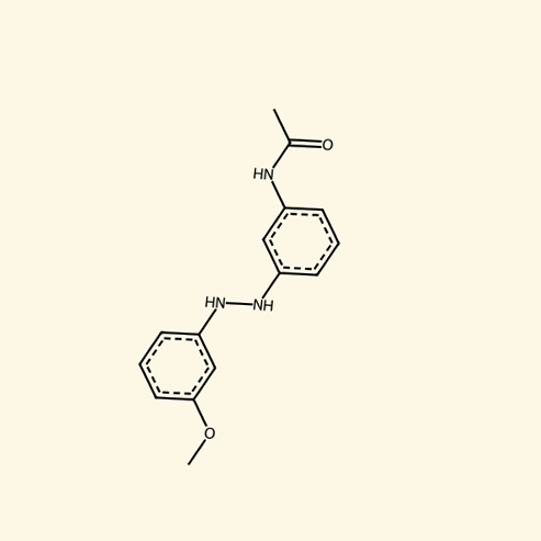 COc1cccc(NNc2cccc(NC(C)=O)c2)c1